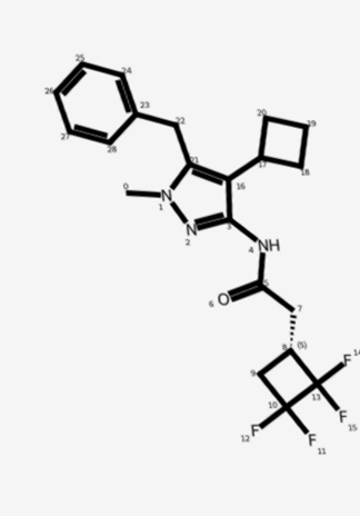 Cn1nc(NC(=O)C[C@H]2CC(F)(F)C2(F)F)c(C2CCC2)c1Cc1ccccc1